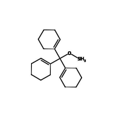 [SiH3]OC(C1=CCCCC1)(C1=CCCCC1)C1=CCCCC1